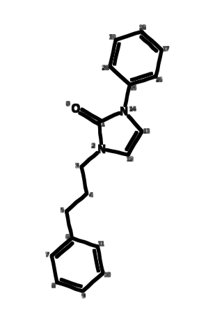 O=c1n(CCCc2ccccc2)ccn1-c1cc[c]cc1